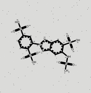 CS(=O)(=O)Nc1cc2nn(-c3cc(S(=O)(=O)O)ccc3S(=O)(=O)O)nc2cc1S(=O)(=O)O